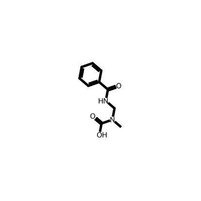 CN(CNC(=O)c1ccccc1)C(=O)O